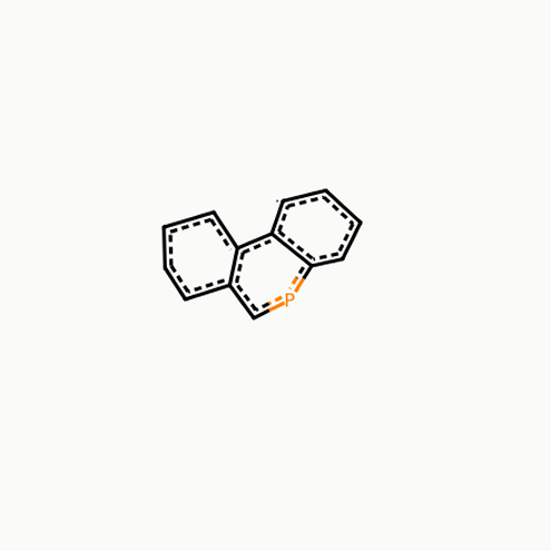 [c]1cccc2pcc3ccccc3c12